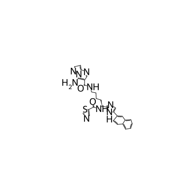 Nc1c(C(=O)NCCCC[C@H](NC(=O)c2cncs2)c2ncc(-c3ccc4ccccc4c3)[nH]2)cnc2ccnn12